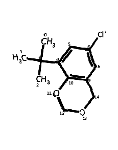 CC(C)(C)c1cc(Cl)cc2c1OCOC2